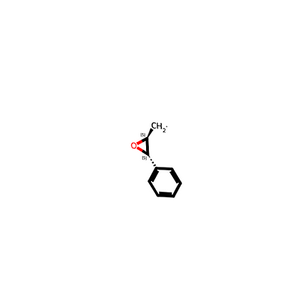 [CH2][C@@H]1O[C@H]1c1ccccc1